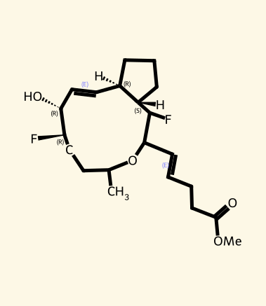 COC(=O)CC/C=C/C1OC(C)CC[C@@H](F)[C@H](O)/C=C/[C@H]2CCC[C@@H]2C1F